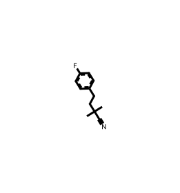 CC(C)(C#N)CCc1ccc(F)cc1